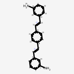 Nc1cccc(/C=C/c2ccc(/C=C/c3cccc(N)c3)cc2)c1